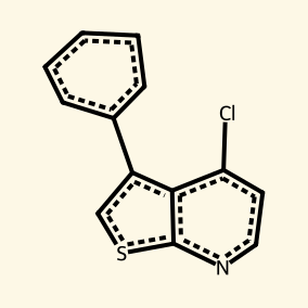 Clc1ccnc2scc(-c3ccccc3)c12